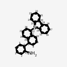 Nc1ccccc1-c1cccc2c(-n3c4ccccc4c4ccccc43)cccc12